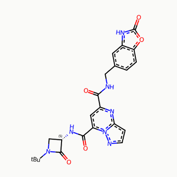 CC(C)(C)N1C[C@H](NC(=O)c2cc(C(=O)NCc3ccc4oc(=O)[nH]c4c3)nc3ccnn23)C1=O